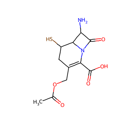 CC(=O)OCC1=C(C(=O)O)N2C(=O)C(N)C2C(S)C1